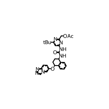 CC(=O)OCc1nc(NC(=O)NC2CCC(Oc3ccc4nncn4c3)c3ccccc32)cc(C(C)(C)C)n1